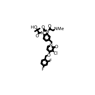 CNCC(=O)n1c(=O)n(C(=O)C(C)(C)O)c2ccc(Cn3ccc(OCc4ccc(F)cc4F)c(Cl)c3=O)cc21